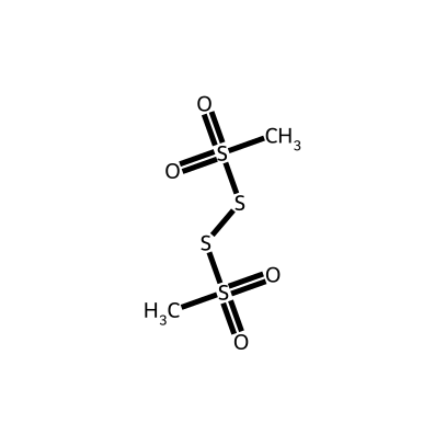 CS(=O)(=O)SSS(C)(=O)=O